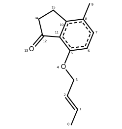 CC=CCOc1ccc(C)c2c1C(=O)CC2